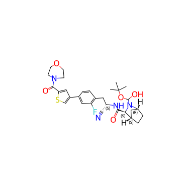 CC(C)(C)OC(O)N1[C@@H]2CC[C@@H](C2)[C@H]1C(=O)N[C@H](C#N)Cc1ccc(-c2csc(C(=O)N3CCOCC3)c2)cc1F